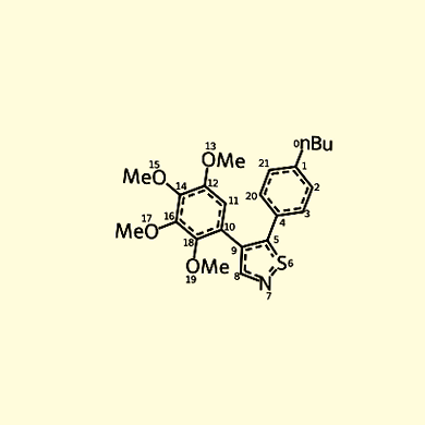 CCCCc1ccc(-c2sncc2-c2cc(OC)c(OC)c(OC)c2OC)cc1